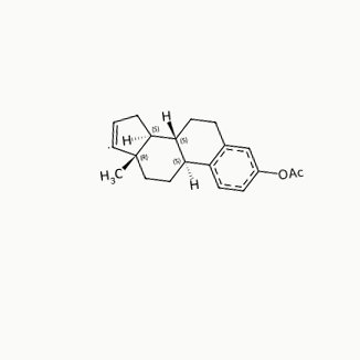 CC(=O)Oc1ccc2c(c1)CC[C@@H]1[C@@H]2CC[C@]2(C)[C]=CC[C@@H]12